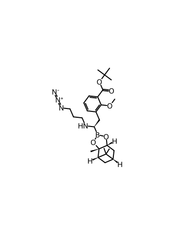 COc1c(C[C@H](NCCCN=[N+]=[N-])B2O[C@@H]3C[C@@H]4C[C@@H](C4(C)C)[C@]3(C)O2)cccc1C(=O)OC(C)(C)C